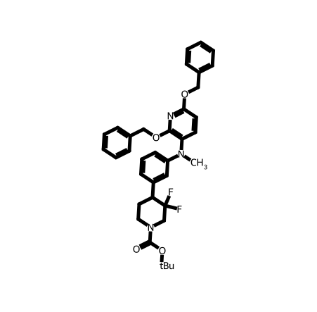 CN(c1cccc(C2CCN(C(=O)OC(C)(C)C)CC2(F)F)c1)c1ccc(OCc2ccccc2)nc1OCc1ccccc1